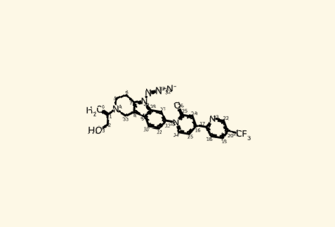 C=C(CO)N1CCc2c(c3ccc(-n4ccc(-c5ccc(C(F)(F)F)cn5)cc4=O)cc3n2N=[N+]=[N-])C1